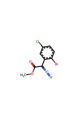 COC(=O)C(=[N+]=[N-])c1cc(Cl)ccc1Br